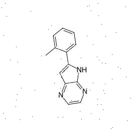 Cc1ccccc1-c1cc2nccnc2[nH]1